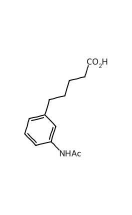 CC(=O)Nc1cccc(CCCCC(=O)O)c1